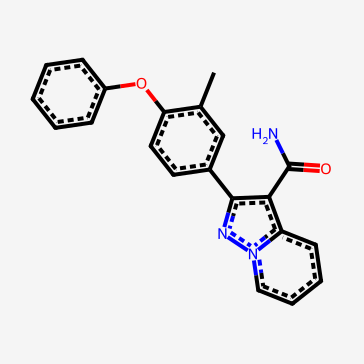 Cc1cc(-c2nn3ccccc3c2C(N)=O)ccc1Oc1ccccc1